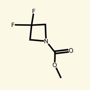 COC(=O)N1CC(F)(F)C1